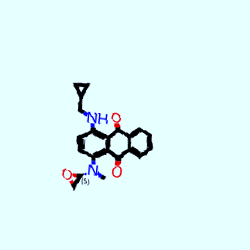 CN(c1ccc(NCC2CC2)c2c1C(=O)c1ccccc1C2=O)[C@@H]1CO1